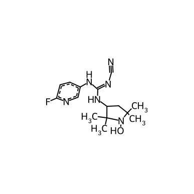 CC1(C)CC(N/C(=N/C#N)Nc2ccc(F)nc2)C(C)(C)N1O